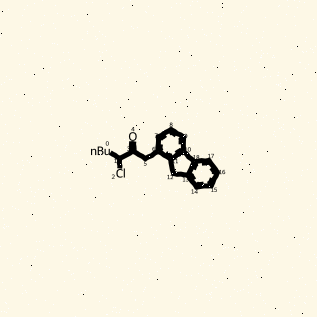 CCCCC(Cl)C(=O)Cc1cccc2c1Cc1ccccc1-2